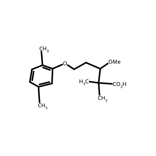 COC(CCOc1cc(C)ccc1C)C(C)(C)C(=O)O